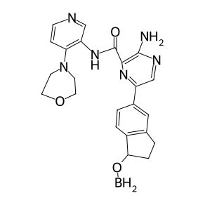 BOC1CCc2cc(-c3cnc(N)c(C(=O)Nc4cnccc4N4CCOCC4)n3)ccc21